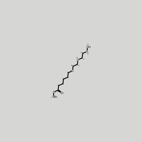 CC(C)(C)OC(=O)CCCCCOCCOCCOO